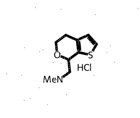 CNCC1OCCc2ccsc21.Cl